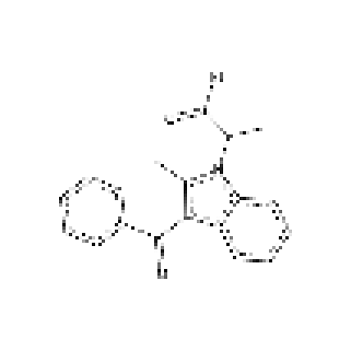 CCC(=O)C(C)n1c(C)c(C(=O)c2ccccc2)c2ccccc21